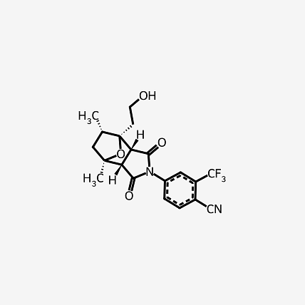 C[C@H]1C[C@@]2(C)O[C@]1(CCO)[C@@H]1C(=O)N(c3ccc(C#N)c(C(F)(F)F)c3)C(=O)[C@@H]12